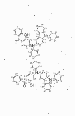 O=C(c1ccccc1)c1ccc(N(c2ccc(-c3ccc(N(c4ccc(C(=O)c5ccccc5)c(O)c4)c4ccc5c(c4)c4ccccc4n5-c4ccccc4)cc3)cc2)c2ccc3c(c2)c2ccccc2n3-c2ccccc2)cc1O